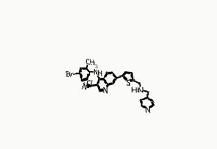 Cc1cc(Br)cc(Cl)c1Nc1c(C#N)cnc2cc(-c3ccc(CNCc4ccncc4)s3)ccc12